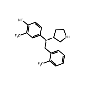 N#Cc1ccc(N(Cc2ccccc2C(F)(F)F)[C@H]2CCNC2)cc1C(F)(F)F